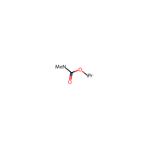 CNC(=O)O[C](C)C